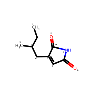 CCC(C)CC1=CC(=O)NC1=O